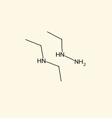 CCNCC.CCNN